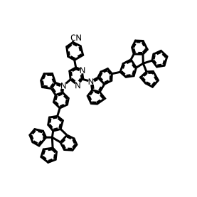 N#Cc1ccc(-c2cc(-n3c4ccccc4c4cc(-c5ccc6c(c5)-c5ccccc5C6(c5ccccc5)c5ccccc5)ccc43)nc(-n3c4ccccc4c4cc(-c5ccc6c(c5)-c5ccccc5C6(c5ccccc5)c5ccccc5)ccc43)n2)cc1